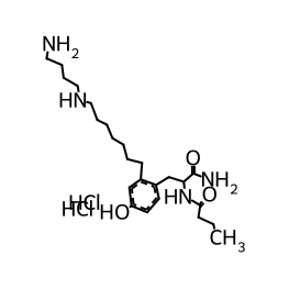 CCCC(=O)NC(Cc1ccc(O)cc1CCCCCCCNCCCCN)C(N)=O.Cl.Cl